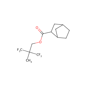 CC(COC(=O)C1CC2CCC1C2)(C(F)(F)F)C(F)(F)F